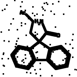 CC(=O)CCC1(C(N)=O)c2ccccc2-c2ccccc21